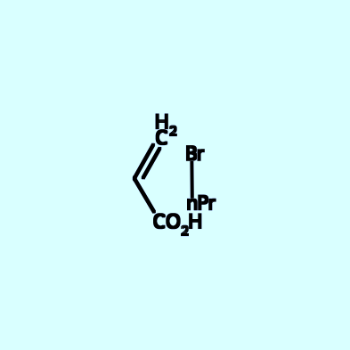 C=CC(=O)O.CCCBr